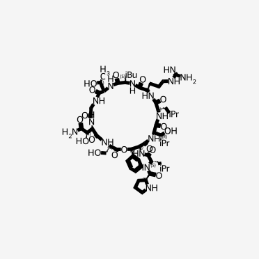 CC[C@H](C)C1NC(=O)[C@@H](CCCNC(=N)N)NC(=O)[C@H](CC(C)C)NC(=O)[C@H]([C@H](O)C(C)C)NC(=O)[C@@H](NC(=O)[C@H](CC(C)C)NC(=O)[C@@H]2CCCN2)[C@@H](c2ccccc2)OC(=O)[C@H](CO)NC(=O)[C@H]([C@H](O)C(N)=O)NC(=O)CNC(=O)C([C@H](C)O)NC1=O